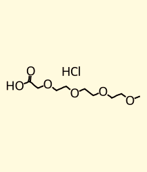 COCCOCCOCCOCC(=O)O.Cl